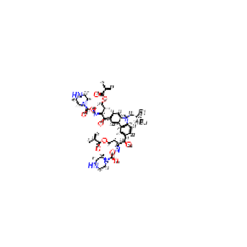 C=C(C)C(=O)OCC/C(=N\OC(=O)N1CCNCC1)C(=O)c1ccc2c(c1)c1cc(C(=O)/C(CCOC(=O)C(=C)C)=N/OC(=O)N3CCNCC3)ccc1n2CC(CC)CCCC